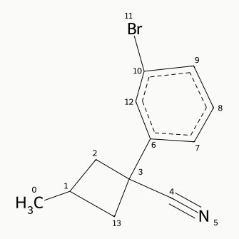 CC1CC(C#N)(c2cccc(Br)c2)C1